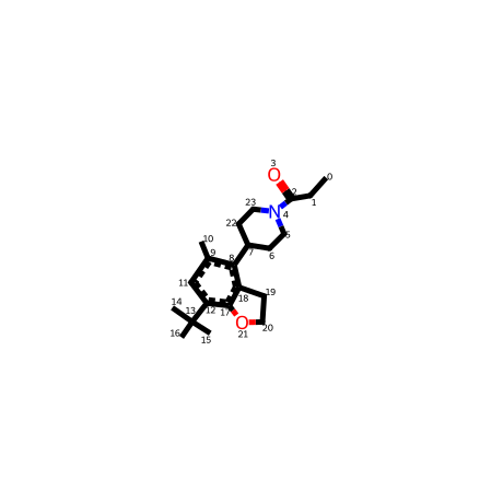 CCC(=O)N1CCC(c2c(C)cc(C(C)(C)C)c3c2CCO3)CC1